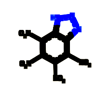 O=[N+]([O-])c1c([N+](=O)[O-])c([N+](=O)[O-])c2[nH]nnc2c1[N+](=O)[O-]